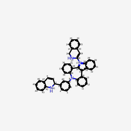 C1=CC(c2cccc(N3c4ccccc4-c4c(n(C5=Cc6ccccc6CN5)c5ccccc45)-c4ccccc43)c2)Nc2ccccc21